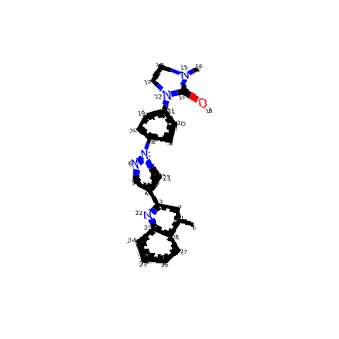 Cc1cc(-c2cnn(-c3ccc(N4CCN(C)C4=O)cc3)c2)nc2ccccc12